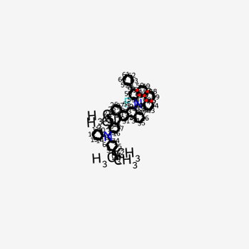 C[Si](C)(C)c1ccc(N(c2ccccc2)c2ccc3c(c2)[Si](C)(C)c2cccc4c2c-3cc2c3ccccc3c(N(c3ccccc3-c3ccccc3)c3c(F)cc(-c5ccccc5)cc3-c3ccccc3)cc42)cc1